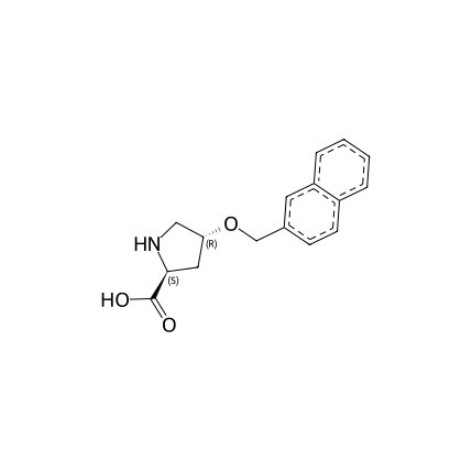 O=C(O)[C@@H]1C[C@@H](OCc2ccc3ccccc3c2)CN1